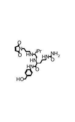 CC(C)[C@@H](CN[C@@H](CCCNC(N)=O)C(=O)Nc1ccc(CO)cc1)NCCCN1C(=O)C=CC1=O